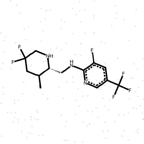 CC1CC(F)(F)CN[C@@H]1CNc1ncc(C(F)(F)F)cc1F